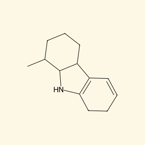 CC1CCCC2C3=C(CCC=C3)NC12